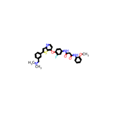 COc1ccccc1NC(=O)CC(=O)Nc1ccc(Oc2ccnc3cc(-c4cccc(CN(C)C)c4)sc23)c(F)c1